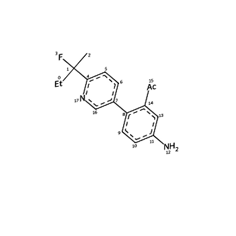 CCC(C)(F)c1ccc(-c2ccc(N)cc2C(C)=O)cn1